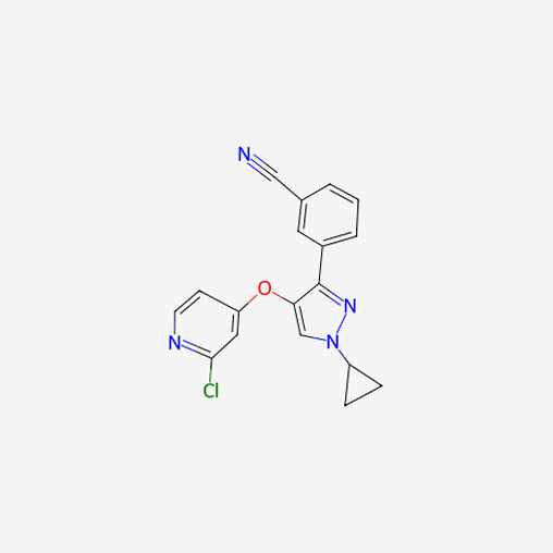 N#Cc1cccc(-c2nn(C3CC3)cc2Oc2ccnc(Cl)c2)c1